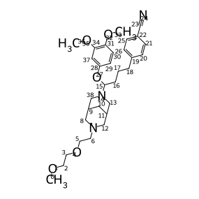 COCCOCCN1CC2CC(C1)CN(C(CCCc1ccc(C#N)cc1)Oc1ccc(OC)c(OC)c1)C2